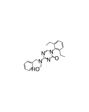 CCc1cccc(CC)c1-n1cnc(N(CO)Cc2ccccc2)nc1=O